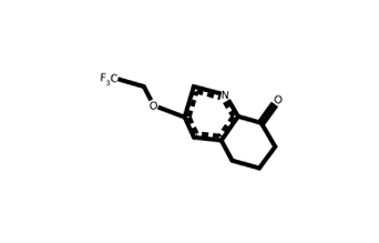 O=C1CCCc2cc(OCC(F)(F)F)cnc21